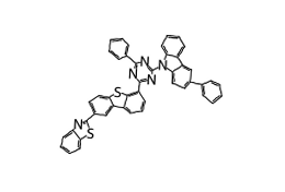 c1ccc(-c2ccc3c(c2)c2ccccc2n3-c2nc(-c3ccccc3)nc(-c3cccc4c3sc3ccc(-c5nc6ccccc6s5)cc34)n2)cc1